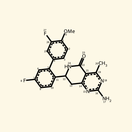 COc1ccc(-c2cc(F)ccc2C2Cc3nc(N)nc(C)c3C(=O)N2)cc1F